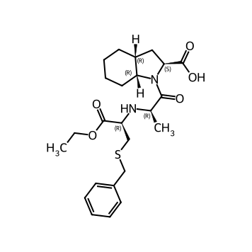 CCOC(=O)[C@H](CSCc1ccccc1)N[C@H](C)C(=O)N1[C@@H]2CCCC[C@@H]2C[C@H]1C(=O)O